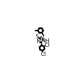 Cc1cccc(Cn2[nH]c(-c3ccc(Cl)cc3Cl)nc2=S)c1